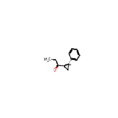 CCC(=O)C1C[C@H]1c1ccccc1